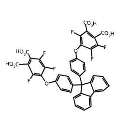 O=C(O)c1c(F)c(F)c(Oc2ccc(C3(c4ccc(Oc5c(F)c(F)c(C(=O)O)c(C(=O)O)c5F)cc4)c4ccccc4-c4ccccc43)cc2)c(F)c1C(=O)O